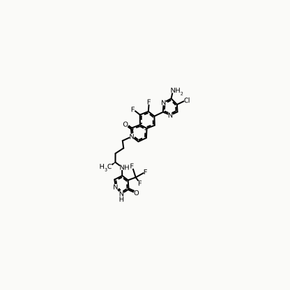 C[C@@H](CCCn1ccc2cc(-c3ncc(Cl)c(N)n3)c(F)c(F)c2c1=O)Nc1cn[nH]c(=O)c1C(F)(F)F